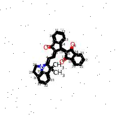 CC1(C)/C(=C\C=C2/C(=O)c3ccccc3C2=C2C(=O)c3ccccc3C2=O)N2CCc3cccc1c32